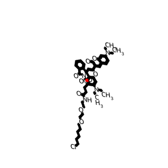 CCN(CC)c1ccc2c(c1)OC(c1cc3ccc(N(CC)CC)cc3oc1=O)=CC21c2ccccc2C(=O)N1S(=O)(=O)CCCC(=O)NCCOCCOCCCCCCCl